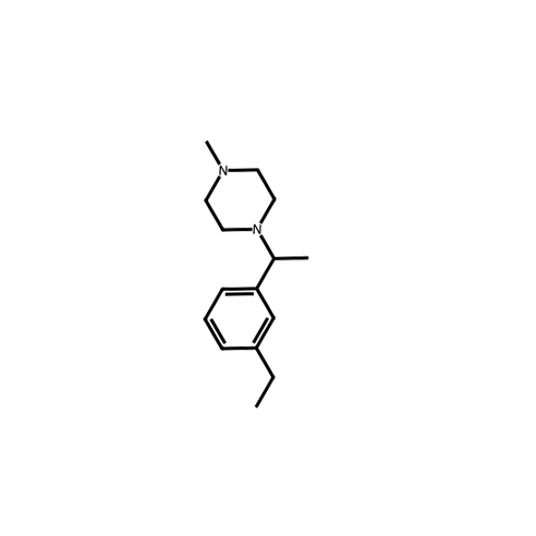 CCc1cccc(C(C)N2CCN(C)CC2)c1